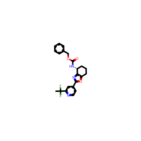 CC(F)(F)c1cc(-c2nc3c(o2)CCC[C@H]3NC(=O)OCc2ccccc2)ccn1